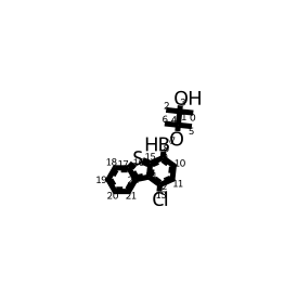 CC(C)(O)C(C)(C)OBc1ccc(Cl)c2c1sc1ccccc12